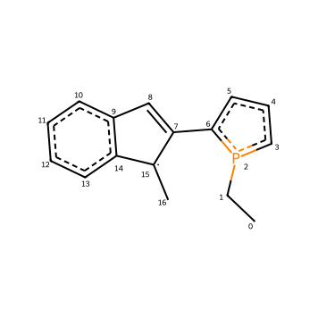 CCp1cccc1C1=Cc2ccccc2[C]1C